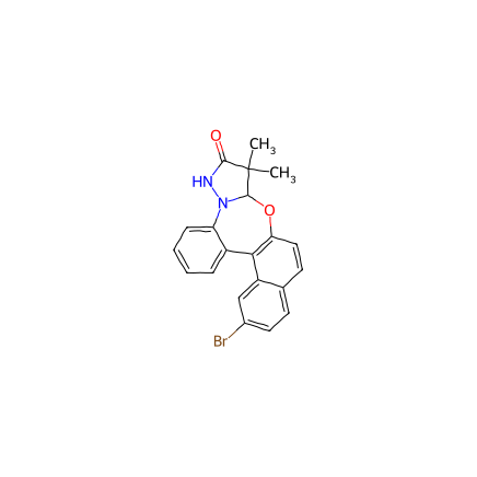 CC1(C)C(=O)NN2c3ccccc3-c3c(ccc4ccc(Br)cc34)OC21